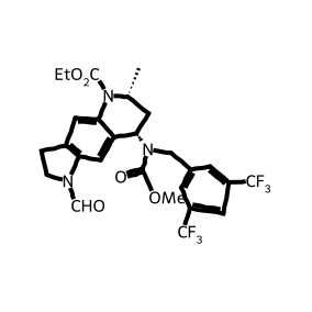 CCOC(=O)N1c2cc3c(cc2[C@@H](N(Cc2cc(C(F)(F)F)cc(C(F)(F)F)c2)C(=O)OC)C[C@H]1C)N(C=O)CC3